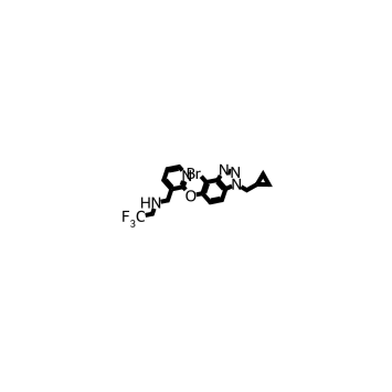 FC(F)(F)CNCc1cccnc1Oc1ccc2c(nnn2CC2CC2)c1Br